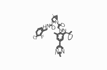 CC(=O)c1nn(CC(=O)N2C3C[C@]3(C)C[C@H]2C(=O)NCc2cccc(Cl)c2F)c2c(C)cc(-c3cnc(C)nc3)cc12